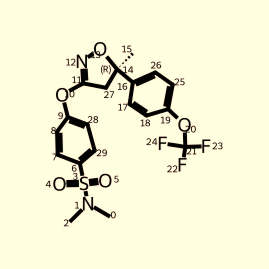 CN(C)S(=O)(=O)c1ccc(OC2=NO[C@@](C)(c3ccc(OC(F)(F)F)cc3)C2)cc1